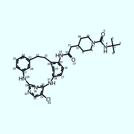 CC(C)(C)NC(=O)N1CCC(CC(=O)Nc2ccc3cc2CCc2cccc(c2)Nc2ncc(Cl)c(n2)N3)CC1